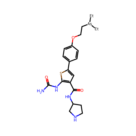 CC[As](CC)CCOc1ccc(-c2cc(C(=O)NC3CCNC3)c(NC(N)=O)s2)cc1